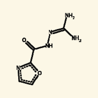 NC(N)=NNC(=O)c1ncco1